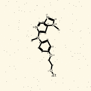 CCOCCOc1ccc(N(C)c2cc3c(cn2)ncn3C)cc1